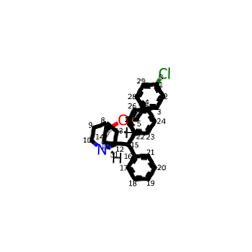 Clc1ccc(CO[C@@H]2C3CCN(CC3)[C@@H]2C(c2ccccc2)c2ccccc2)cc1